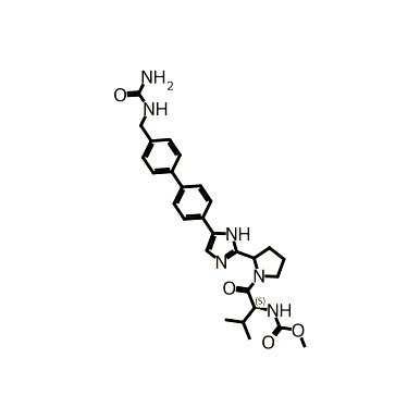 COC(=O)N[C@H](C(=O)N1CCCC1c1ncc(-c2ccc(-c3ccc(CNC(N)=O)cc3)cc2)[nH]1)C(C)C